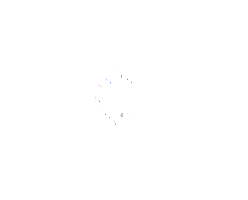 CC(C)C(=O)N(C)CC(=O)N(C)CC(=O)N(C)CC(=O)N(C)CC=O